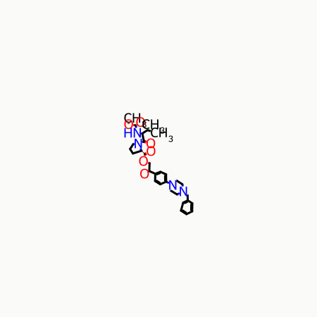 COC(=O)N[C@H](C(=O)N1CCC[C@H]1C(=O)OCC(=O)c1ccc(N2CCN(Cc3ccccc3)CC2)cc1)C(C)C